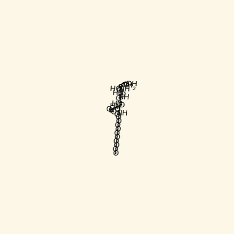 COCCOCCOCCOCCOCCOCCOCCOCCOCCOCC(=O)NCCCC[C@H](NC(=O)CCCN1C(=O)C=CC1=O)C(=O)NCCCC(=O)NCC(=O)NCC(=O)Nc1cc(C[C@H](N)C[C@H](C)C(=O)O)ccc1O